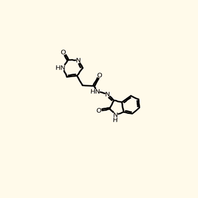 O=C(Cc1cnc(=O)[nH]c1)N/N=C1\C(=O)Nc2ccccc21